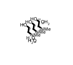 CNCCO.CNCCO.CNCCO.O.O.O